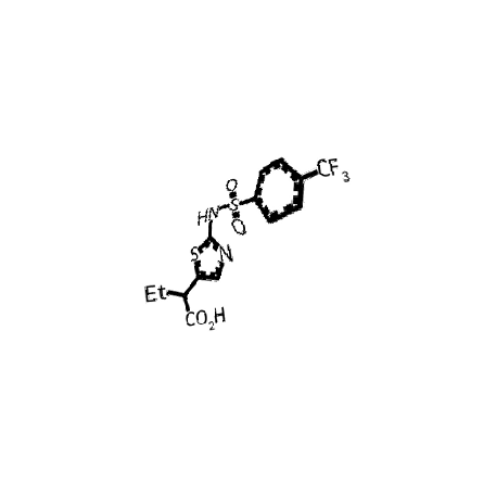 CCC(C(=O)O)c1cnc(NS(=O)(=O)c2ccc(C(F)(F)F)cc2)s1